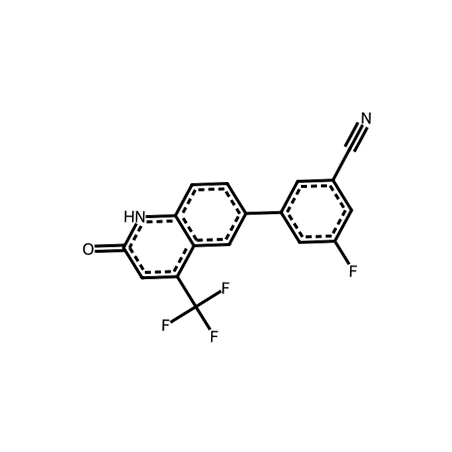 N#Cc1cc(F)cc(-c2ccc3[nH]c(=O)cc(C(F)(F)F)c3c2)c1